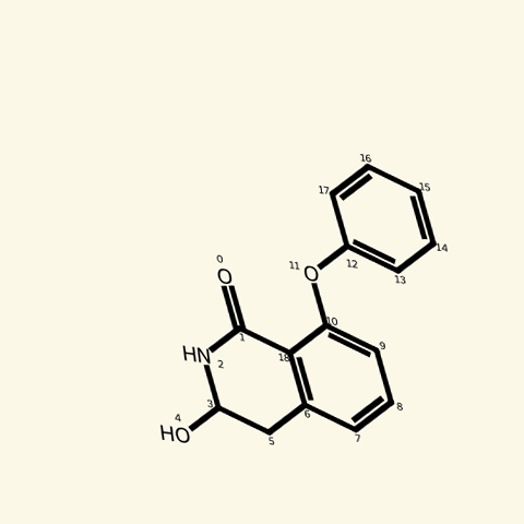 O=C1NC(O)Cc2cccc(Oc3ccccc3)c21